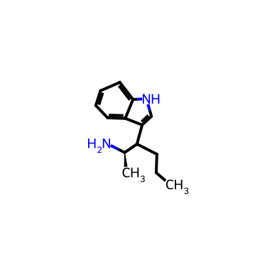 CCCC(c1c[nH]c2ccccc12)[C@@H](C)N